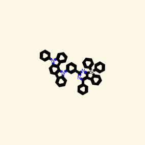 c1ccc(-c2nc(-c3cccc(-n4c5ccccc5c5ccc6c(c7ccccc7n6-c6ccccc6)c54)c3)nc3c2-c2ccccc2[Si]3(c2ccccc2)c2ccccc2)cc1